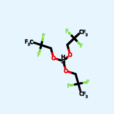 FC(F)(F)C(F)(F)CO[SiH](OCC(F)(F)C(F)(F)F)OCC(F)(F)C(F)(F)F